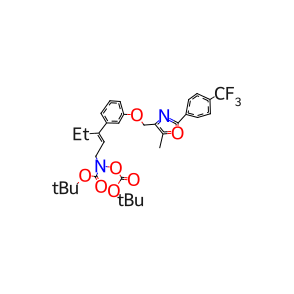 CCC(=CCN(OC(=O)OC(C)(C)C)C(=O)OC(C)(C)C)c1cccc(OCc2nc(-c3ccc(C(F)(F)F)cc3)oc2C)c1